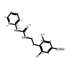 COc1cc(F)c(CCNC(=S)Nc2ccccn2)c(F)c1